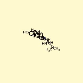 CN(C)CCNC(=N)N/N=C/[C@@]1(O)CC[C@]2(O)[C@@H]3CC[C@@H]4C[C@@H](O)CC[C@]4(C)[C@H]3CC[C@]12C